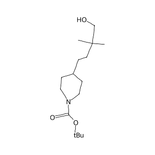 CC(C)(CO)CCC1CCN(C(=O)OC(C)(C)C)CC1